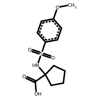 COc1ccc(S(=O)(=O)NC2(C(=O)O)CCCC2)cc1